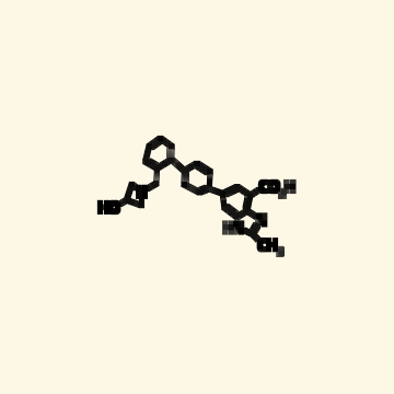 Cc1nc2c(C(=O)O)cc(-c3ccc(-c4ccccc4CN4CC(O)C4)cc3)cc2[nH]1